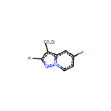 CCOC(=O)c1c(C(C)C)nn2ccc(I)cc12